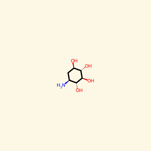 N[C@H]1C[C@@H](O)[C@H](O)[C@@H](O)[C@@H]1O